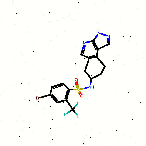 O=S(=O)(NC1CCc2c(cnc3[nH]ncc23)C1)c1ccc(Br)cc1C(F)(F)F